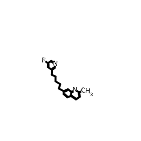 Cc1ccc2ccc(CCCCCc3cncc(F)c3)cc2n1